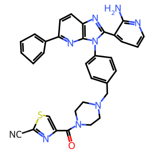 N#Cc1nc(C(=O)N2CCN(Cc3ccc(-n4c(-c5cccnc5N)nc5ccc(-c6ccccc6)nc54)cc3)CC2)cs1